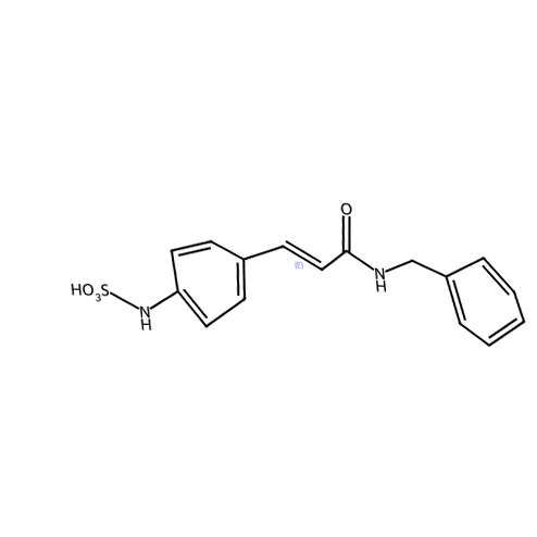 O=C(/C=C/c1ccc(NS(=O)(=O)O)cc1)NCc1ccccc1